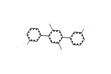 Cc1cc(-c2cccc(C(=O)O)c2)c(C)cc1-c1cccc(C(=O)O)c1